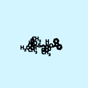 COC(=O)C(CCSC[C@H]1O[C@@H](OC)[C@@H]2OC(C)(C)O[C@@H]21)NC(=O)OCC1c2ccccc2-c2ccccc21